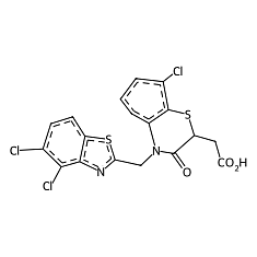 O=C(O)CC1Sc2c(Cl)cccc2N(Cc2nc3c(Cl)c(Cl)ccc3s2)C1=O